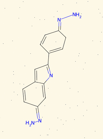 NN=C1C=CC2=CC(C3=CCC(=NN)C=C3)=NC2=C1